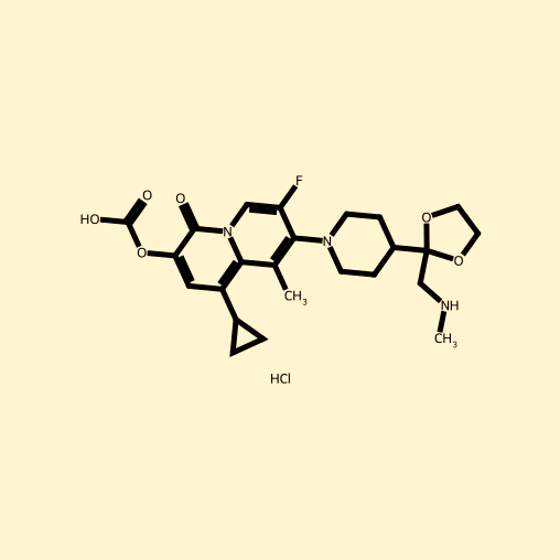 CNCC1(C2CCN(c3c(F)cn4c(=O)c(OC(=O)O)cc(C5CC5)c4c3C)CC2)OCCO1.Cl